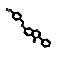 O=c1c(-c2ccccc2)coc2cc(OCc3ccc([N+](=O)[O-])cc3)ccc12